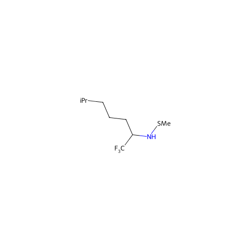 CSNC(CCCC(C)C)C(F)(F)F